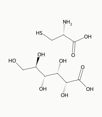 N[C@@H](CS)C(=O)O.O=C(O)[C@H](O)[C@@H](O)[C@H](O)[C@H](O)CO